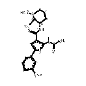 COc1cccc(-c2cc(C(=O)N[C@H]3CCCN(C(=O)O)C3C(C)(C)C)c(NC(N)=O)s2)c1